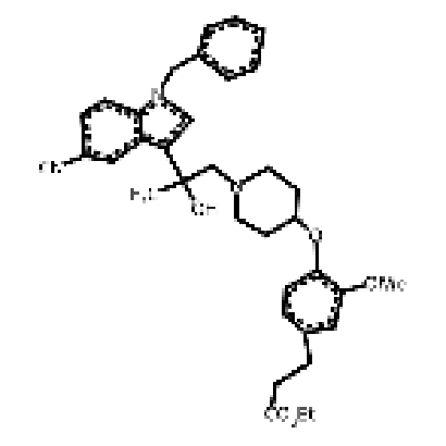 [C-]#[N+]c1ccc2c(c1)c(C(O)(CN1CCC(Oc3ccc(CCC(=O)OCC)cc3OC)CC1)C(F)(F)F)cn2Cc1ccccc1